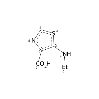 CCNc1scnc1C(=O)O